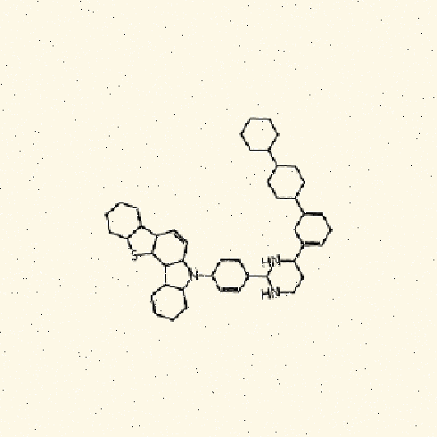 C1=CC(N2C3C=CC4C5CCCCC5SC4C3C3CCCCC32)CCC1C1NCCC(C2=CCCC(C3CCC(C4CCCCC4)CC3)C2)N1